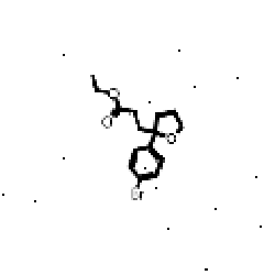 CCOC(=O)CCC1(c2ccc(Br)cc2)CCCO1